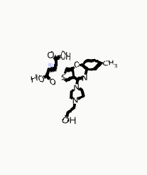 Cc1ccc2c(c1)N=C(N1CCN(CCO)CC1)c1cscc1O2.O=C(O)/C=C/C(=O)O